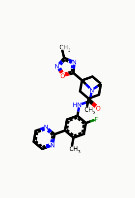 Cc1noc(C23CC(C)CC(C2)N3C(=O)Nc2cc(-c3ncccn3)c(C)cc2F)n1